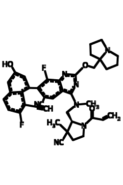 C#Cc1c(F)ccc2cc(O)cc(-c3c(C#N)cc4c(N(C)C[C@H]5N(C(=O)C=C)CCC5(C)C#N)nc(OCC56CCCN5CCC6)nc4c3F)c12